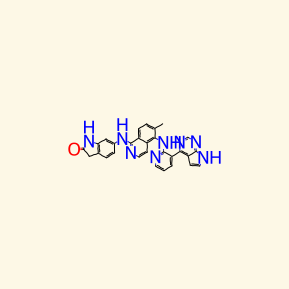 Cc1ccc2c(Nc3ccc4c(c3)NC(=O)C4)nccc2c1Nc1ncccc1-c1ncnc2[nH]ccc12